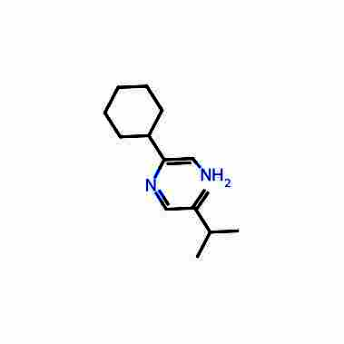 C=C(/C=N\C(=C/N)C1CCCCC1)C(C)C